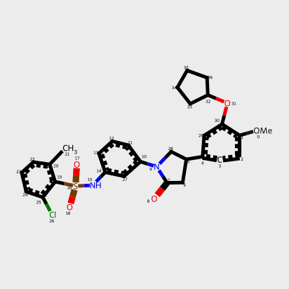 COc1ccc(C2CC(=O)N(c3cccc(NS(=O)(=O)c4c(C)cccc4Cl)c3)C2)cc1OC1CCCC1